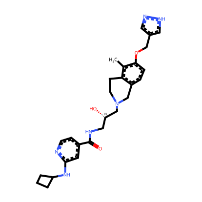 Cc1c(OCc2cn[nH]c2)ccc2c1CCN(C[C@@H](O)CNC(=O)c1ccnc(NC3CCC3)c1)C2